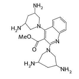 COC(=O)c1c(N2CC(N)CC(N)C2)nc2ccccc2c1N1CC(N)CC(N)C1